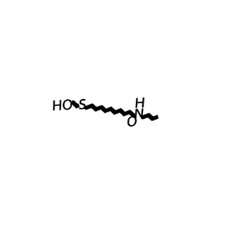 CCCCNC(=O)CCCCCCCCCCSCCO